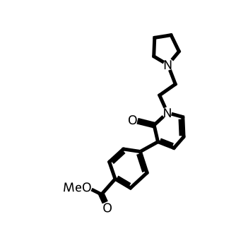 COC(=O)c1ccc(-c2cccn(CCN3CCCC3)c2=O)cc1